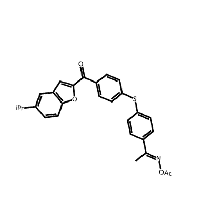 CC(=O)ON=C(C)c1ccc(Sc2ccc(C(=O)c3cc4cc(C(C)C)ccc4o3)cc2)cc1